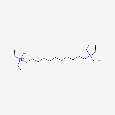 CC[N+](CC)(CC)CCCCCCCCCCC[N+](CC)(CC)CC